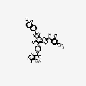 CCc1c(N2CCN(C(=O)c3ncnc(C)c3O)CC2)c(=O)n2nc(-c3ccc4c(c3)CCC(=O)N4C)nc2n1CC(=O)Nc1ccc(C(F)(F)F)cc1Cl